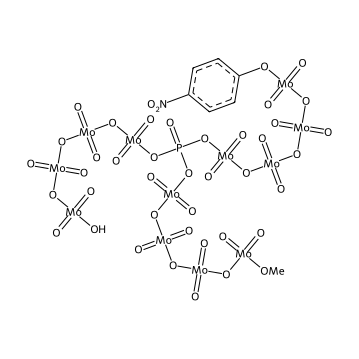 C[O][Mo](=[O])(=[O])[O][Mo](=[O])(=[O])[O][Mo](=[O])(=[O])[O][Mo](=[O])(=[O])[O]P(=O)([O][Mo](=[O])(=[O])[O][Mo](=[O])(=[O])[O][Mo](=[O])(=[O])[O][Mo](=[O])(=[O])[OH])[O][Mo](=[O])(=[O])[O][Mo](=[O])(=[O])[O][Mo](=[O])(=[O])[O][Mo](=[O])(=[O])[O]c1ccc([N+](=O)[O-])cc1